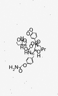 CC(C)CN(C[C@@H](O)[C@H](Cc1ccc(OCC(N)=O)cc1)NC(=O)O[C@H]1CO[C@H]2OCC[C@H]21)S(=O)(=O)c1ccc2c(c1)OCO2